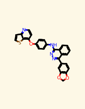 c1ccc2c(-c3ccc4c(c3)OCO4)nnc(Nc3ccc(Oc4ccnc5ccsc45)cc3)c2c1